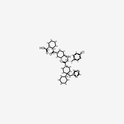 O=C([C@@H](Cc1ccc(Cl)cc1)NC1CCN(C(=O)[C@@H]2CCCCN2C(=O)O)CC1)N1CCC(Cn2cncn2)(C2CCCCC2)CC1